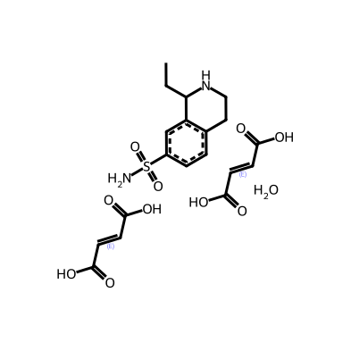 CCC1NCCc2ccc(S(N)(=O)=O)cc21.O.O=C(O)/C=C/C(=O)O.O=C(O)/C=C/C(=O)O